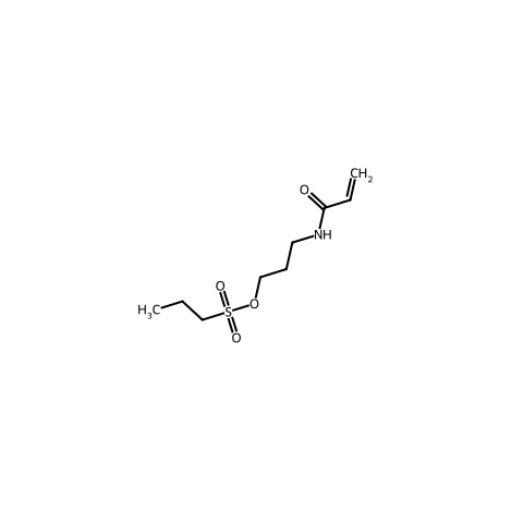 C=CC(=O)NCCCOS(=O)(=O)CCC